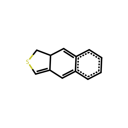 C1=C2C=c3ccccc3=CC2CS1